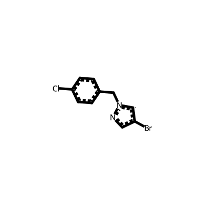 Clc1ccc(Cn2[c]c(Br)cn2)cc1